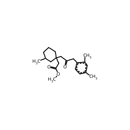 COC(=O)CC1(CC(=O)Cc2ccc(C)cc2C)CCCC(C)C1